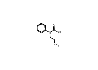 NCCN(C(=S)S)c1ccccc1